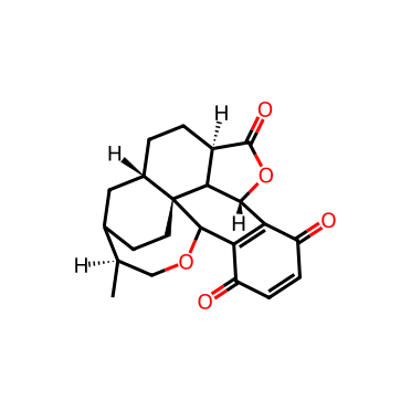 C[C@@H]1COC2C3=C(C(=O)C=CC3=O)[C@H]3OC(=O)[C@@H]4CC[C@H]5CC1CC[C@@]25C34